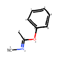 C/C(=N\C#N)Oc1ccccc1